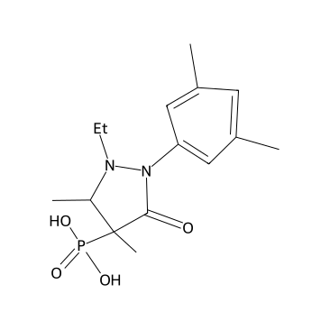 CCN1C(C)C(C)(P(=O)(O)O)C(=O)N1c1cc(C)cc(C)c1